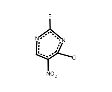 O=[N+]([O-])c1cnc(F)nc1Cl